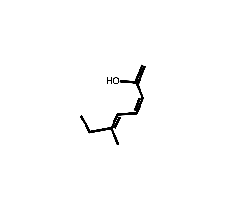 C=C(O)/C=C\C=C(/C)CC